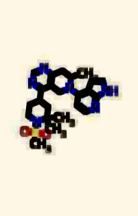 CC1Cc2ncnc(C3CCN(S(C)(=O)=O)C(C)(C)C3)c2CN1c1ccnc2[nH]ccc12